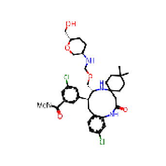 CNC(=O)c1cc(Cl)cc([C@@H]2Cc3ccc(Cl)cc3NC(=O)CC3(CCC(C)(C)CC3)N[C@H]2COCN[C@@H]2CC[C@@H](CO)OC2)c1